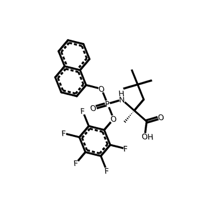 CC(C)(C)C[C@](C)(NP(=O)(Oc1c(F)c(F)c(F)c(F)c1F)Oc1cccc2ccccc12)C(=O)O